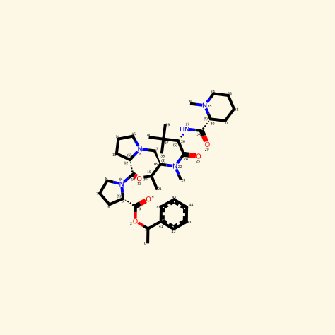 CC(OC(=O)[C@@H]1CCCN1C(=O)[C@@H]1CCCN1C[C@H](C(C)C)N(C)C(=O)[C@@H](NC(=O)[C@H]1CCCCN1C)C(C)(C)C)c1ccccc1